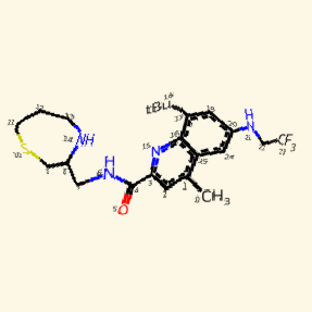 Cc1cc(C(=O)NCC2CSCCCN2)nc2c(C(C)(C)C)cc(NCC(F)(F)F)cc12